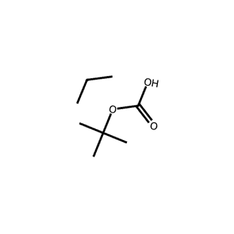 CC(C)(C)OC(=O)O.CCC